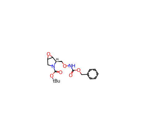 CC(C)(C)OC(=O)N1CC2OC2[C@H]1CONC(=O)OCc1ccccc1